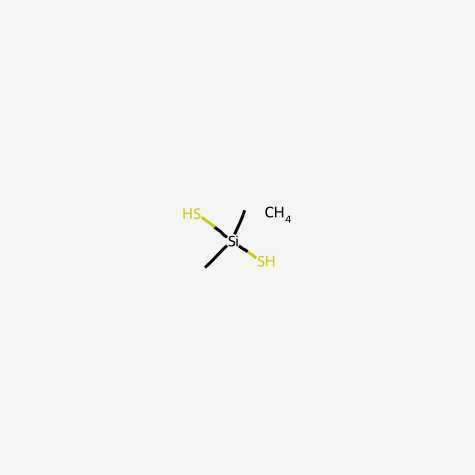 C.C[Si](C)(S)S